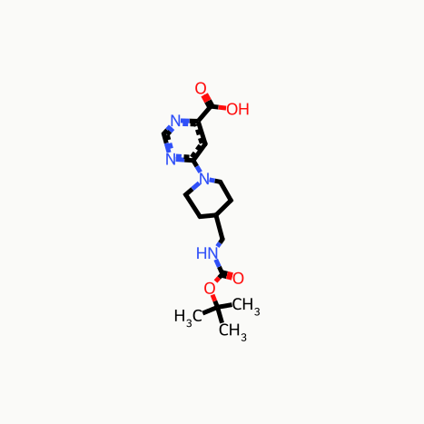 CC(C)(C)OC(=O)NCC1CCN(c2cc(C(=O)O)ncn2)CC1